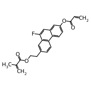 C=CC(=O)Oc1ccc2c(c1)cc(F)c1cc(CCOC(=O)C(=C)C)ccc12